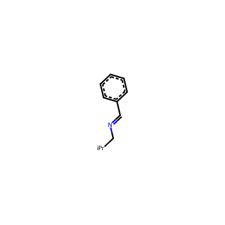 CC(C)CN=Cc1ccccc1